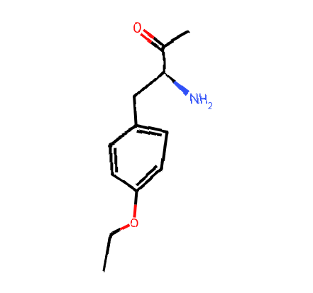 CCOc1ccc(C[C@H](N)C(C)=O)cc1